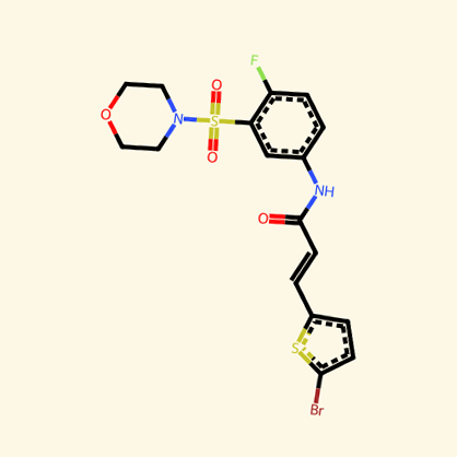 O=C(/C=C/c1ccc(Br)s1)Nc1ccc(F)c(S(=O)(=O)N2CCOCC2)c1